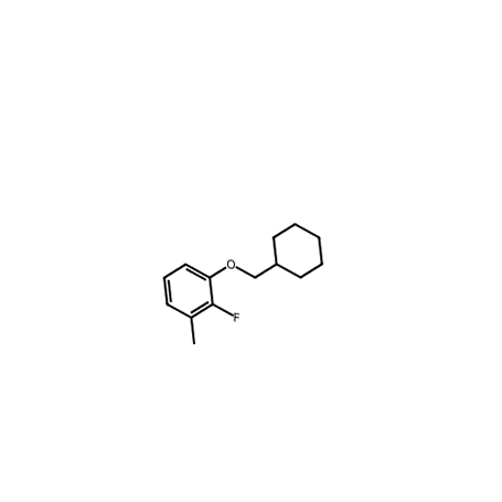 Cc1cccc(OCC2CCCCC2)c1F